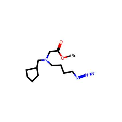 CC(C)(C)OC(=O)CN(CCCCN=[N+]=[N-])CC1CCCC1